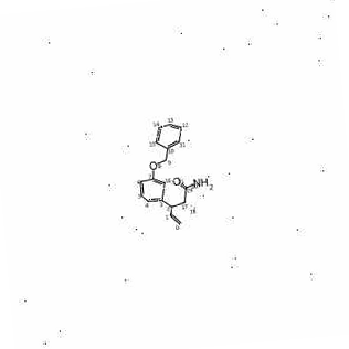 C=C[C@@H](c1cccc(OCc2ccccc2)c1)[C@@H](C)C(N)=O